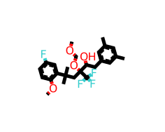 COCOC(CC(C)(C)c1cc(F)ccc1OC)(C(O)Cc1cc(C)cc(C)c1)C(F)(F)F